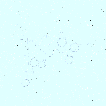 COc1ccc(C(OC[C@H]2O[C@@H](n3cnc4c(NC(=O)c5ccccc5)nc(NCCNC(=O)OCC[Si](C)(C)C)nc43)[C@H](OP(OCCC#N)N(C(C)C)C(C)C)[C@H]2O[Si](C)(C)C(C)(C)C)(c2ccccc2)c2ccc(OC)cc2)cc1